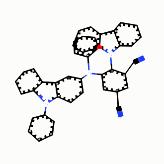 N#Cc1cc(C#N)c(-n2c3ccccc3c3ccccc32)c(N(c2ccccc2)c2ccc3c(c2)c2ccccc2n3-c2ccccc2)c1